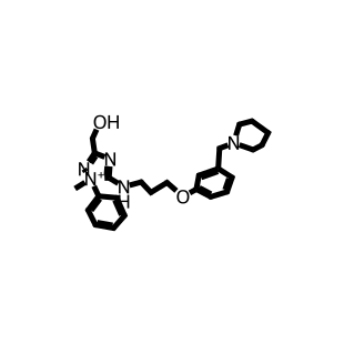 C[N+]1(c2ccccc2)N=C(CO)N=C1NCCCOc1cccc(CN2CCCCC2)c1